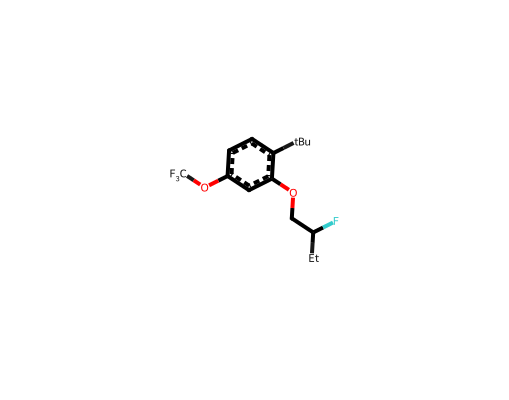 CCC(F)COc1cc(OC(F)(F)F)ccc1C(C)(C)C